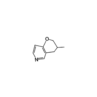 CC1COc2ccncc2C1